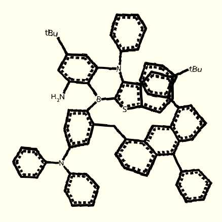 CC(C)(C)c1cc(N)c2c(c1)N(c1ccccc1)c1c(sc3ccc(C(C)(C)C)cc13)B2c1ccc(N(c2ccccc2)c2ccccc2)cc1Cc1cccc2c(-c3ccccc3)c3cccc(-c4ccccc4)c3cc12